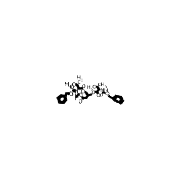 CC(C)[C@H](NC(=O)OCc1ccccc1)C(=O)OCC(COC(=O)[C@@H](NC(=O)OCc1ccccc1)C(C)C)CC(=O)OCI